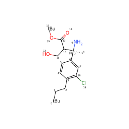 CC(C)(C)CCc1ccc([C@](C)(N)C(CO)C(=O)OC(C)(C)C)cc1Cl